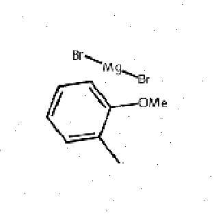 [Br][Mg][Br].[CH2]c1ccccc1OC